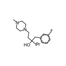 CC(C)C(O)(CCN1CCN(C)CC1)Cc1cccc(F)c1